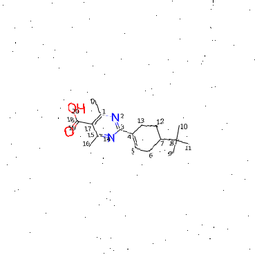 Cc1nc(C2=CCC(C(C)(C)C)CC2)nc(C)c1C(=O)O